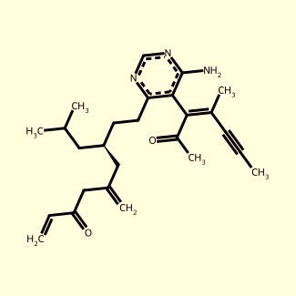 C=CC(=O)CC(=C)C[C@H](CCc1ncnc(N)c1/C(C(C)=O)=C(\C)C#CC)CC(C)C